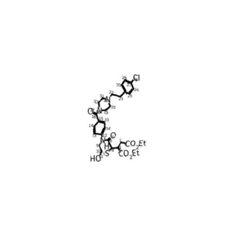 CCOC(=O)CC(C(=O)OCC)C(S)C(=O)N(CCO)c1ccc(C(=O)N2CCN(CCc3ccc(Cl)cc3)CC2)cc1